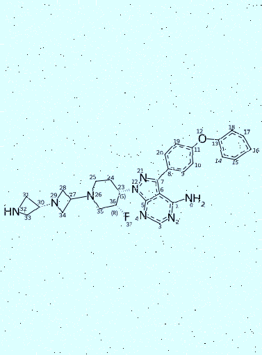 Nc1ncnc2c1c(-c1ccc(Oc3ccccc3)cc1)nn2[C@H]1CCN(C2CN(C3CNC3)C2)C[C@H]1F